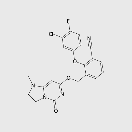 CN1CCn2c1cc(OCc1cccc(C#N)c1Oc1ccc(F)c(Cl)c1)nc2=O